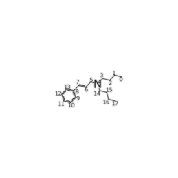 CCCCN(CC=Cc1ccccc1)CCCC